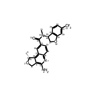 C[C@H]1OCc2c(N)nc3ccc(C(=O)N(C)[C@@H]4COc5cc(C(F)(F)F)ccc54)cc3c21